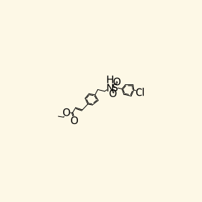 CCOC(=O)C=Cc1ccc(CCNS(=O)(=O)c2ccc(Cl)cc2)cc1